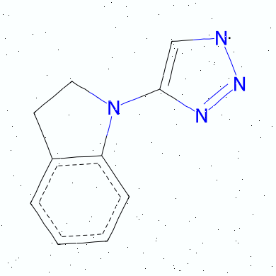 C1=C(N2CCc3ccccc32)N=N[N]1